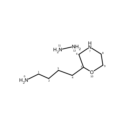 NCCCCC1CNCCO1.NN